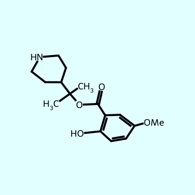 COc1ccc(O)c(C(=O)OC(C)(C)C2CCNCC2)c1